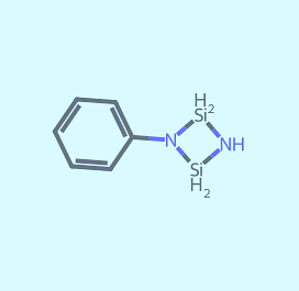 c1ccc(N2[SiH2]N[SiH2]2)cc1